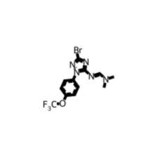 CN(C)C=Nc1nc(Br)nn1-c1ccc(OC(F)(F)F)cc1